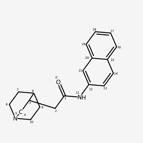 O=C(CC1CN2CCC1CC2)Nc1ccc2ccccc2c1